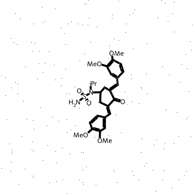 COc1ccc(/C=C2\CC(N(C(C)C)S(N)(=O)=O)C/C(=C\c3ccc(OC)c(OC)c3)C2=O)cc1OC